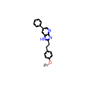 CC(C)Oc1ccc(CCc2nc3ncc(-c4ccccc4)cc3[nH]2)cc1